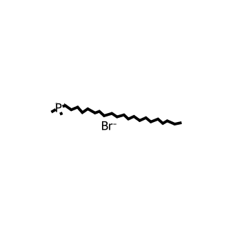 CCCCCCCCCCCCCCCCCCCCC[P+](C)(C)C.[Br-]